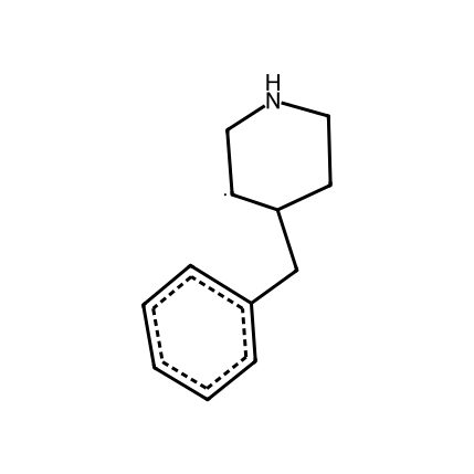 [CH]1CNCCC1Cc1ccccc1